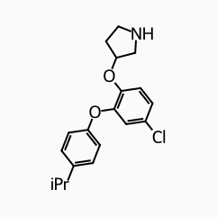 CC(C)c1ccc(Oc2cc(Cl)ccc2OC2CCNC2)cc1